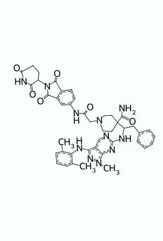 Cc1cccc(C)c1Nc1nn(C)c2nc(NC(Cc3ccccc3)C3(C(N)=O)CCN(CC(=O)Nc4ccc5c(c4)C(=O)N(C4CCC(=O)NC4=O)C5=O)CC3)ncc12